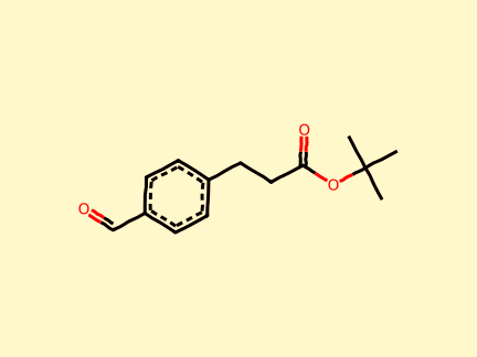 CC(C)(C)OC(=O)CCc1ccc(C=O)cc1